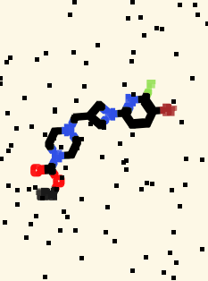 CC(C)(C)OC(=O)N1CCN(CC2CN(c3ccc(Br)c(F)n3)C2)CC1